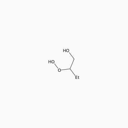 CCC(CO)OO